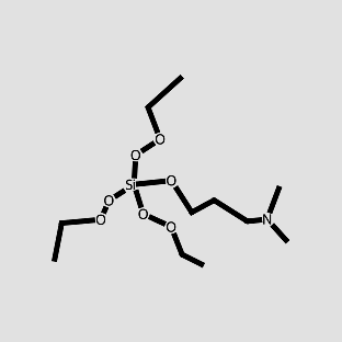 CCOO[Si](OCCCN(C)C)(OOCC)OOCC